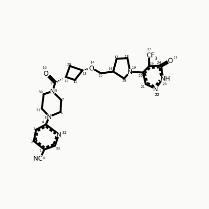 N#Cc1ccc(N2CCN(C(=O)[C@H]3C[C@@H](OCC4CCN(c5cn[nH]c(=O)c5C(F)(F)F)C4)C3)CC2)nc1